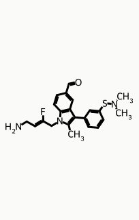 Cc1c(-c2cccc(SN(C)C)c2)c2cc(C=O)ccc2n1C/C(F)=C/CN